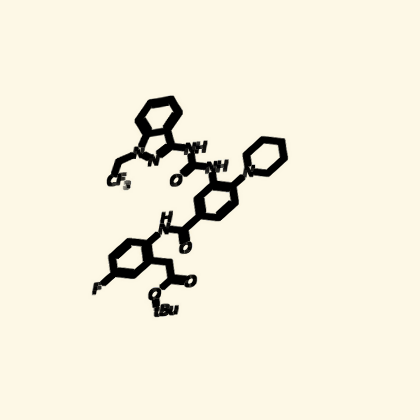 CC(C)(C)OC(=O)Cc1cc(F)ccc1NC(=O)c1ccc(N2CCCCC2)c(NC(=O)Nc2nn(CC(F)(F)F)c3ccccc23)c1